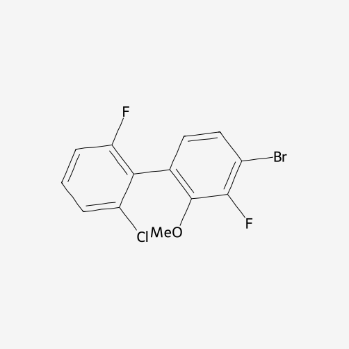 COc1c(-c2c(F)cccc2Cl)ccc(Br)c1F